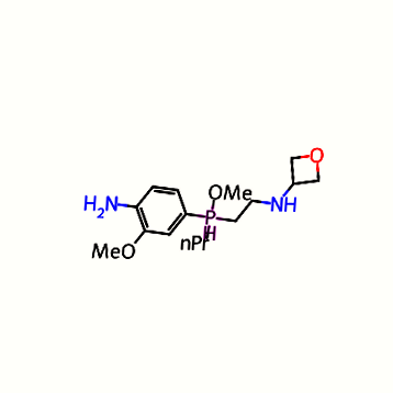 CCC[PH](CCNC1COC1)(OC)c1ccc(N)c(OC)c1